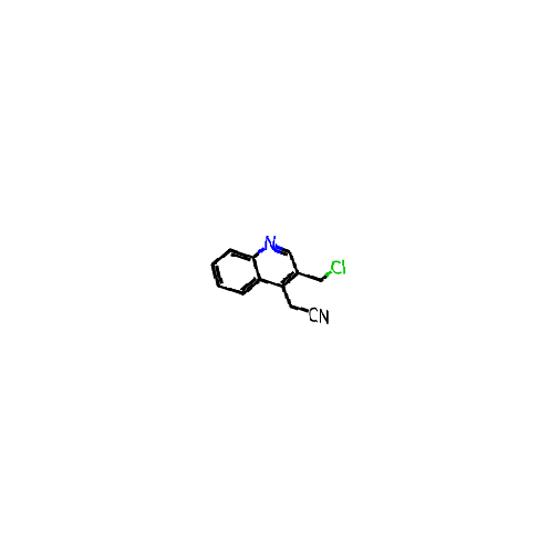 N#CCc1c(CCl)cnc2ccccc12